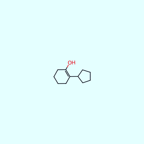 OC1=C(C2CCCC2)CCCC1